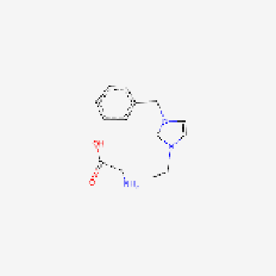 CCN1C=CN(Cc2ccccc2)C1.NCC(=O)O